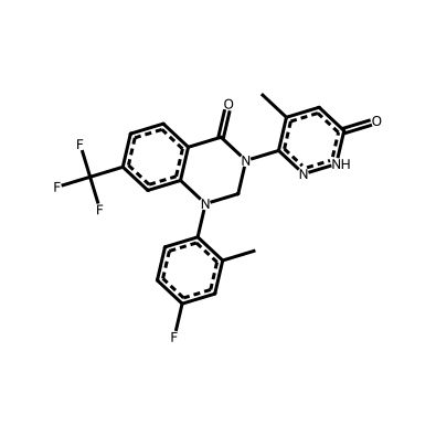 Cc1cc(F)ccc1N1CN(c2n[nH]c(=O)cc2C)C(=O)c2ccc(C(F)(F)F)cc21